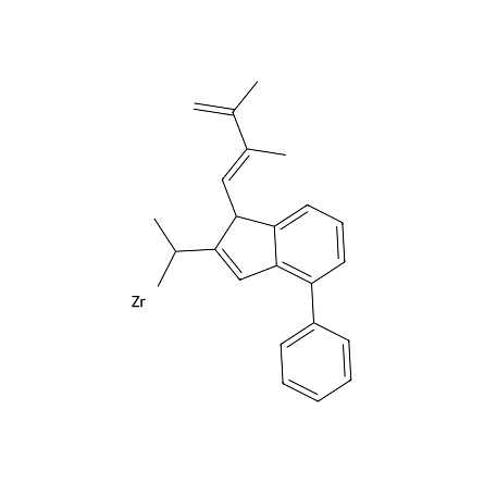 C=C(C)C(C)=CC1C(C(C)C)=Cc2c(-c3ccccc3)cccc21.[Zr]